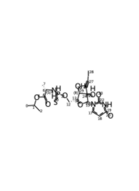 CC(C)OC(=O)[C@H](C)N[PH](=S)OC[C@H]1O[C@@H](n2ccc(=O)[nH]c2=O)[C@@](O)(C#CI)[C@@H]1O